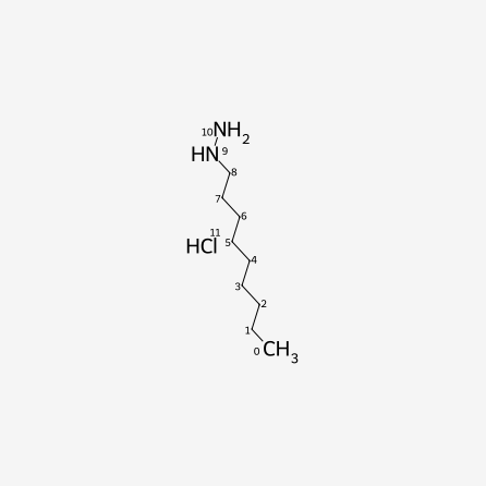 CCCCCCCCCNN.Cl